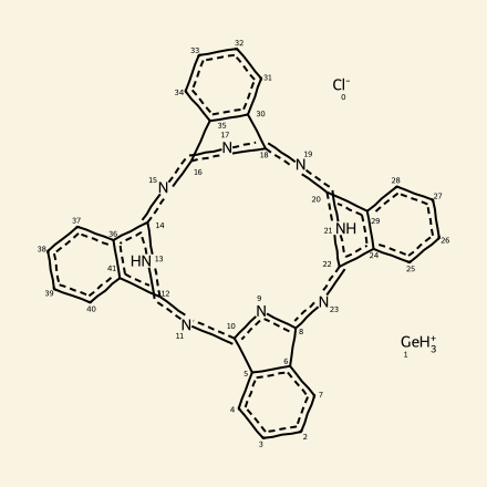 [Cl-].[GeH3+].c1ccc2c(c1)-c1nc-2nc2[nH]c(nc3nc(nc4[nH]c(n1)c1ccccc41)-c1ccccc1-3)c1ccccc21